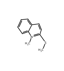 CSc1ccc2ccccc2[n+]1C